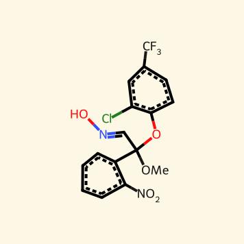 COC(C=NO)(Oc1ccc(C(F)(F)F)cc1Cl)c1ccccc1[N+](=O)[O-]